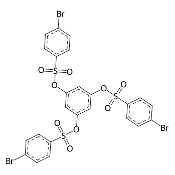 O=S(=O)(Oc1cc(OS(=O)(=O)c2ccc(Br)cc2)cc(OS(=O)(=O)c2ccc(Br)cc2)c1)c1ccc(Br)cc1